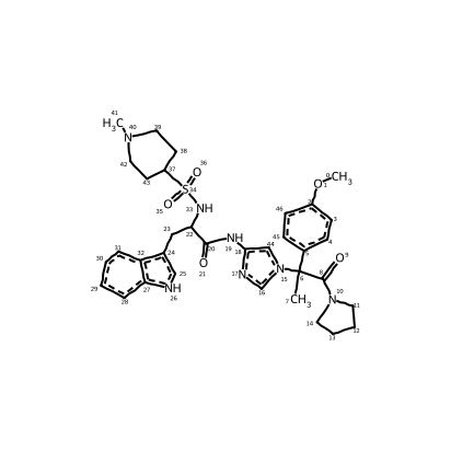 COc1ccc(C(C)(C(=O)N2CCCC2)n2cnc(NC(=O)C(Cc3c[nH]c4ccccc34)NS(=O)(=O)C3CCN(C)CC3)c2)cc1